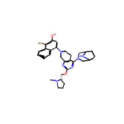 CN1CCC[C@H]1COc1nc2c(c(N3CC4CCC(C3)N4)n1)CCN(c1cc(O)c(Br)c3ccccc13)C2